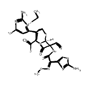 CC[n+]1c(C2=C(C(=O)[O-])N3C(=O)C(C=S)(NC(=O)/C(=N\OC)c4csc(N)n4)[C@@H]3SC2)cc(N)nc1N